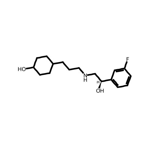 OC1CCC(CCCNC[C@H](O)c2cccc(F)c2)CC1